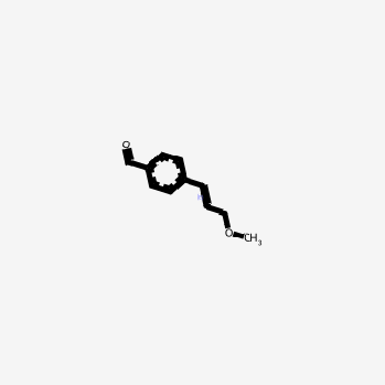 COC/C=C/c1ccc(C=O)cc1